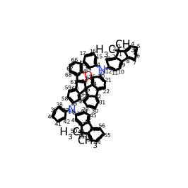 CC1(C)c2ccccc2-c2ccc(N(c3ccccc3)c3ccc4c(c3)C3(c5ccccc5-4)c4cc(N(c5ccccc5)c5ccc6c(c5)C(C)(C)c5ccccc5-6)ccc4-c4c3oc3ccccc43)cc21